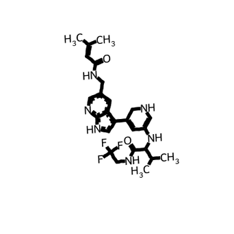 CC(C)=CC(=O)NCc1cnc2[nH]cc(C3=CC(NC(C(=O)NCC(F)(F)F)C(C)C)=CNC3)c2c1